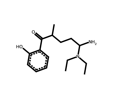 CCN(CC)C(N)CCC(C)C(=O)c1ccccc1O